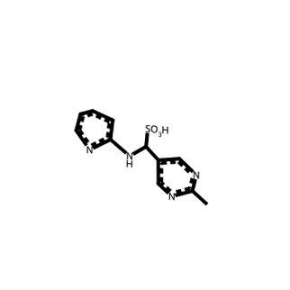 Cc1ncc(C(Nc2ccccn2)S(=O)(=O)O)cn1